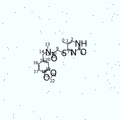 Cc1c[nH]c(=O)nc1SCC(=O)N(C)Cc1ccc2c(c1)OCO2